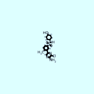 Cc1ccc(S(=O)(=O)NC2CCC(O)CC2)cc1-c1cnc(N)c(Cl)n1